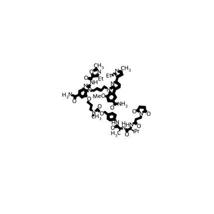 CCc1nc(C)oc1C(=O)Nc1nc2cc(C(N)=O)cc(OCCCN(C)C(=O)OCc3ccc(NC(=O)[C@H](C)NC(=O)[C@@H](NC(=O)CCN4C(=O)C=CC4=O)C(C)C)cc3)c2n1C/C=C/Cn1c2nc(-c3cc(C)nn3CC)ccc2c2cc(C(N)=O)cc(OC)c21